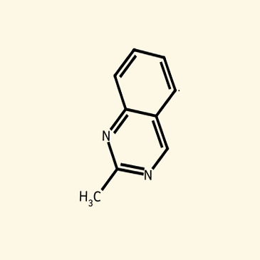 Cc1ncc2[c]cccc2n1